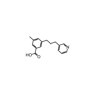 Cc1cc(C[CH]Cc2cccnc2)cc(C(=O)O)c1